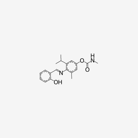 CNC(=O)Oc1cc(C)c(N=Cc2ccccc2O)c(C(C)C)c1